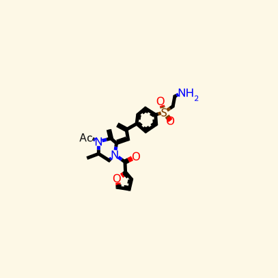 C=C(/C=C1\C(=C)N(C(C)=O)C(C)CN1C(=O)c1ccco1)c1ccc(S(=O)(=O)CCN)cc1